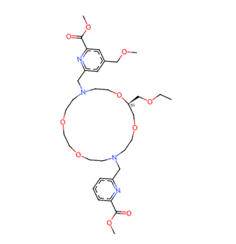 CCOC[C@H]1COCCN(Cc2cccc(C(=O)OC)n2)CCOCCOCCN(Cc2cc(COC)cc(C(=O)OC)n2)CCO1